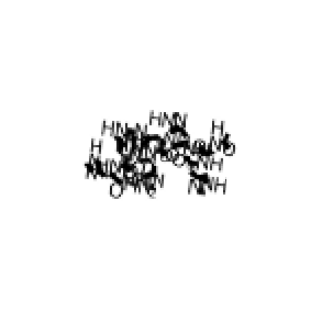 CC(=O)NCC(=O)N[C@H](Cc1c[nH]cn1)C(=O)N[C@@H](Cc1c[nH]cn1)C(=O)N[C@H](Cc1c[nH]cn1)C(=O)N[C@@H](Cc1c[nH]cn1)C(=O)N[C@H](Cc1c[nH]cn1)C(=O)N[C@@H](Cc1c[nH]cn1)C(N)=O